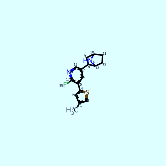 Cc1csc(-c2cc(C3CC4CCC3N4)cnc2F)c1